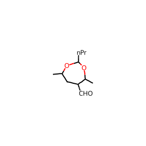 CCCC1OC(C)CC(C=O)C(C)O1